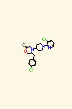 C[C@H]1CN(C2CCN(c3ncccc3Cl)CC2)[C@@H](Cc2ccc(Cl)cc2)CO1